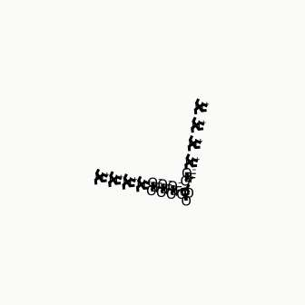 CC1COC(=O)O1.CC[N+](CC)(CC)CC.CC[N+](CC)(CC)CC.CC[N+](CC)(CC)CC.CC[N+](CC)(CC)CC.CC[N+](CC)(CC)CC.CC[N+](CC)(CC)CC.CC[N+](CC)(CC)CC.CC[N+](CC)(CC)CC.[O-]B([O-])F.[O-]B([O-])F.[O-]B([O-])F.[O-]B([O-])F